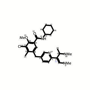 CN/C=C(/c1ccc(Cc2cc(C(=O)NC3CCCCC3)c(OC)c(Cl)c2C)cn1)C(C)NC